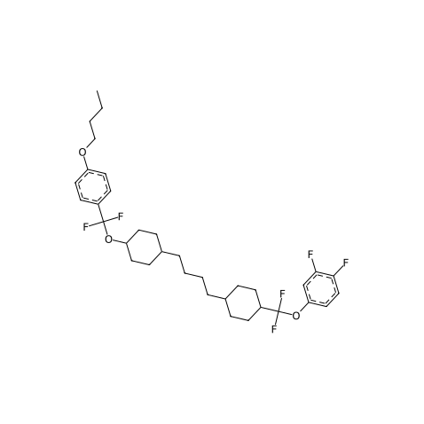 CCCCOc1ccc(C(F)(F)OC2CCC(CCCCC3CCC(C(F)(F)Oc4ccc(F)c(F)c4)CC3)CC2)cc1